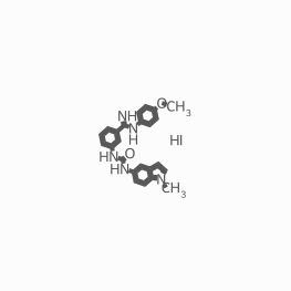 COc1ccc(NC(=N)c2cccc(NC(=O)Nc3ccc4c(ccn4C)c3)c2)cc1.I